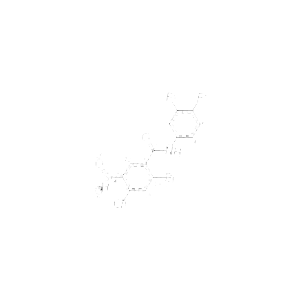 O=C(Nc1ccc(F)c(F)c1)c1cc([SH](=O)=O)c(Cl)cc1Br